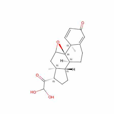 C[C@]12CC3O[C@@]34[C@@H](CCC3=CC(=O)C=C[C@@]34C)[C@@H]1CC[C@@H]2C(=O)C(O)O